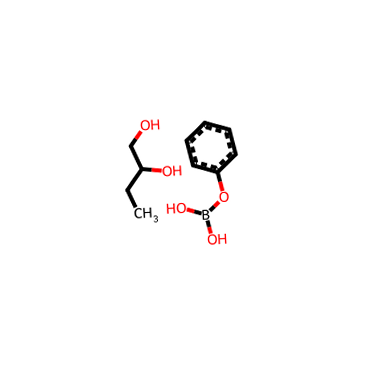 CCC(O)CO.OB(O)Oc1ccccc1